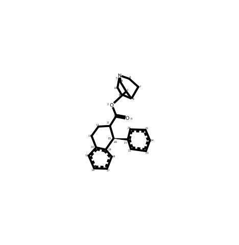 O=C(OC1CN2CCC1CC2)C1CCc2ccccc2[C@@H]1c1ccccc1